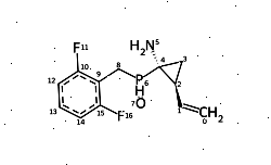 C=C[C@@H]1C[C@]1(N)[PH](=O)Cc1c(F)cccc1F